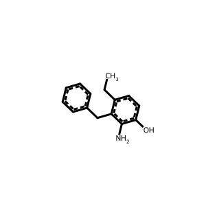 CCc1ccc(O)c(N)c1Cc1ccccc1